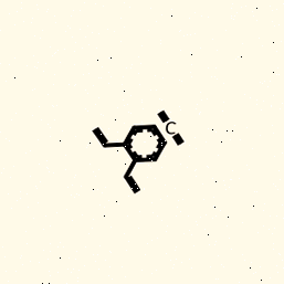 C=C=C.C=Cc1ccccc1C=C